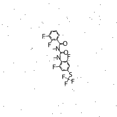 CN(C(=O)c1cccc(F)c1F)C(=O)N(C)c1c(F)cc(SC(F)(F)F)cc1F